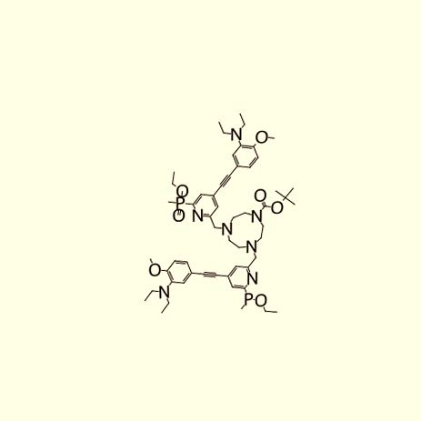 CCOP(C)c1cc(C#Cc2ccc(OC)c(N(CC)CC)c2)cc(CN2CCN(Cc3cc(C#Cc4ccc(OC)c(N(CC)CC)c4)cc(P(C)(=O)OCC)n3)CCN(C(=O)OC(C)(C)C)CC2)n1